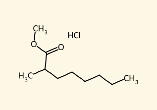 CCCCCCC(C)C(=O)OC.Cl